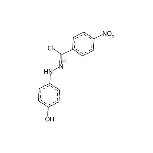 O=[N+]([O-])c1ccc(/C(Cl)=N/Nc2ccc(O)cc2)cc1